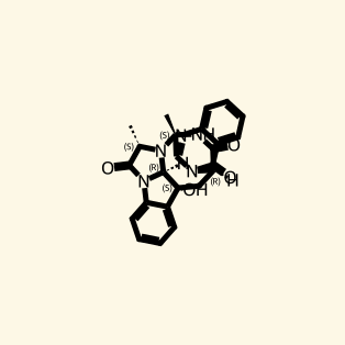 C[C@H]1C(=O)N2c3ccccc3[C@@]3(O)C[C@@H]4C(=O)N[C@](C)(c5nc6ccccc6c(=O)n54)N1[C@H]23